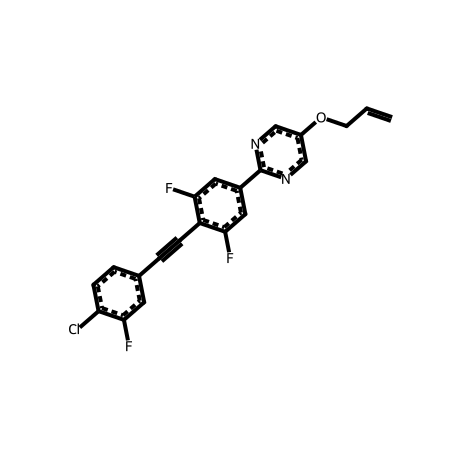 C=CCOc1cnc(-c2cc(F)c(C#Cc3ccc(Cl)c(F)c3)c(F)c2)nc1